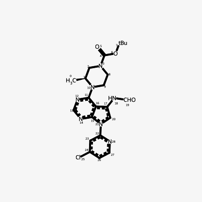 C[C@H]1CN(C(=O)OC(C)(C)C)CCN1c1ncnc2c1c(NC=O)cn2-c1cc(Cl)ccn1